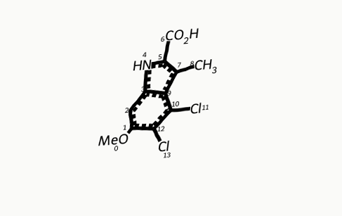 COc1cc2[nH]c(C(=O)O)c(C)c2c(Cl)c1Cl